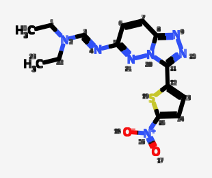 CCN(C=Nc1ccc2nnc(-c3ccc([N+](=O)[O-])s3)n2n1)CC